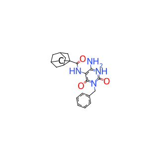 Nc1[nH]c(=O)n(Cc2ccccc2)c(=O)c1NC(=O)C12CC3CC(CC1C3)C2